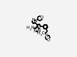 CC(Cc1cccc(-c2cc(-c3ccnn3C3CCOCC3)c3c(N)ncnn23)c1)N1CCOCC1